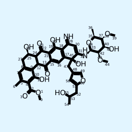 COC(=O)c1c(C)cc2c(c1O)C1C(=O)c3cc4c(c(O)c3C(=O)C1[C@H](O)C2)C(=N)C=C(N[C@H]1O[C@@H](C)[C@H](OC)[C@@H](O)[C@H]1OC)C4(O)Cc1coc(CC(C)O)c1